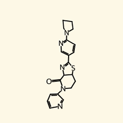 O=C1C2N=C(c3ccc(N4CCCC4)nc3)SC2CCN1c1cccnc1